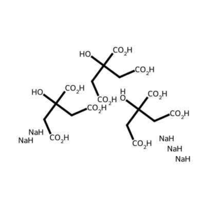 O=C(O)CC(O)(CC(=O)O)C(=O)O.O=C(O)CC(O)(CC(=O)O)C(=O)O.O=C(O)CC(O)(CC(=O)O)C(=O)O.[NaH].[NaH].[NaH].[NaH].[NaH]